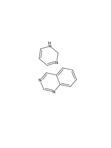 C1=CNCN=C1.c1ccc2ncncc2c1